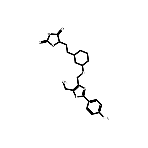 CCc1oc(-c2ccc(C)cc2)nc1COC1CCCC(CCC2SC(=O)NC2=O)C1